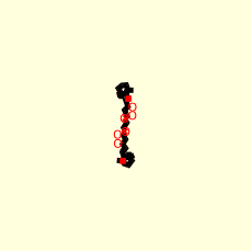 CC1=C(C=CC(=O)CC(=O)OCCOC(=O)CC(=O)C=CC2=C(C)CCCC2(C)C)C(C)(C)CCC1